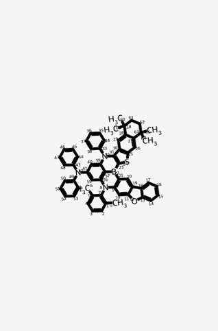 Cc1cccc(C)c1N1c2cc3oc4ccccc4c3cc2B2c3sc4cc5c(cc4c3N(c3ccccc3)c3cc(N(c4ccccc4)c4ccccc4)cc1c32)C(C)(C)CCC5(C)C